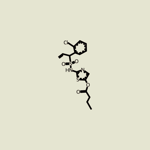 C=CC(c1ccccc1Cl)S(=O)(=O)Nc1ncc(OC(=O)CCC)s1